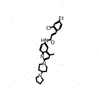 CCc1ccc(C=CC(=O)Nc2ccc3nc(N4CCC(N5CCCC5)CC4)cc(C)c3c2)c(Cl)c1